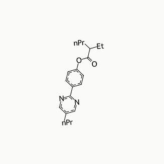 CCCc1cnc(-c2ccc(OC(=O)C(CC)CCC)cc2)nc1